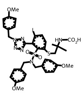 COc1ccc(CN(Cc2ccc(OC)cc2)S(=O)(=O)c2c(SCC(C)(C)NC(=O)O)ccc(I)c2-c2nnn(Cc3ccc(OC)cc3)n2)cc1